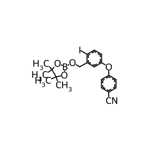 CC1(C)OB(OCc2cc(Oc3ccc(C#N)cc3)ccc2I)OC1(C)C